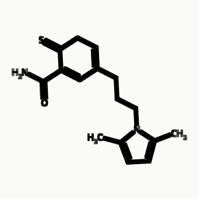 Cc1ccc(C)n1CCCC1=CCC(=S)C(C(N)=O)=C1